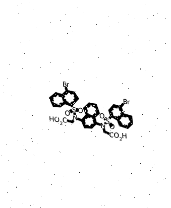 O=C(O)CN(c1ccc(N(CC(=O)O)S(=O)(=O)c2ccc(Br)c3ccccc23)c2ccccc12)S(=O)(=O)c1ccc(Br)c2ccccc12